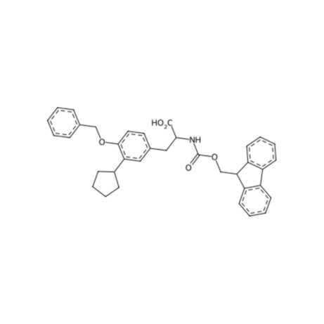 O=C(NC(Cc1ccc(OCc2ccccc2)c(C2CCCC2)c1)C(=O)O)OCC1c2ccccc2-c2ccccc21